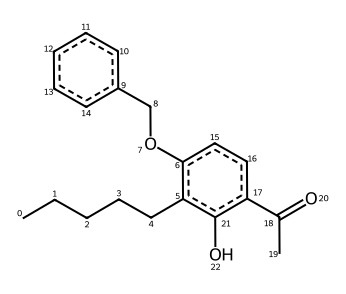 CCCCCc1c(OCc2ccccc2)ccc(C(C)=O)c1O